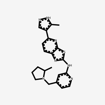 Cc1[nH]ncc1-c1ccc2nc(Nc3cc(CN4CCCC4C)ccn3)sc2n1